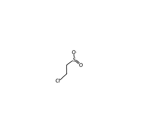 [O]S(=O)CCCl